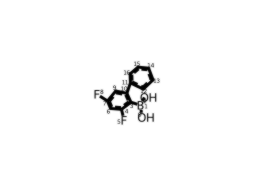 OB(O)c1c(F)cc(F)cc1-c1ccccc1